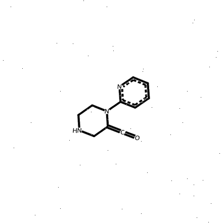 O=C=C1CNCCN1c1ccccn1